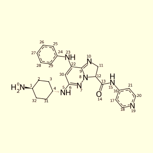 N[C@H]1CC[C@H](NC2=NN3C(=NCC3C(=O)Nc3ccncc3)C(Nc3ccccc3)=C2)CC1